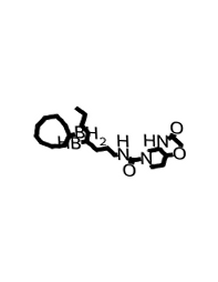 BC1(BC(CCCC)CCCNC(=O)N2CCC3OCC(=O)NC3C2)CCCCCCCC1